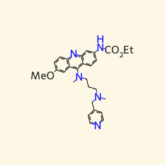 CCOC(=O)Nc1ccc2c(N(C)CCCN(C)Cc3ccncc3)c3cc(OC)ccc3nc2c1